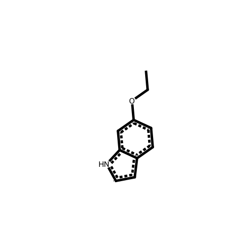 CCOc1ccc2c[c][nH]c2c1